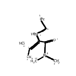 CC=C(NCC(C)C)C(=O)N(C)C.Cl